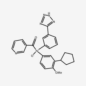 COc1ccc([N+]([O-])(C(=O)c2cccnc2)c2cccc(-c3nn[nH]n3)c2)cc1C1CCCC1